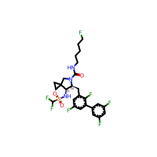 O=C(NCCCCCF)N1CC2(CC2)[C@H](NS(=O)(=O)C(F)F)[C@@H]1Cc1cc(F)cc(-c2cc(F)cc(F)c2)c1F